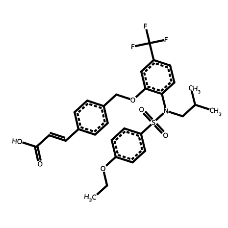 CCOc1ccc(S(=O)(=O)N(CC(C)C)c2ccc(C(F)(F)F)cc2OCc2ccc(C=CC(=O)O)cc2)cc1